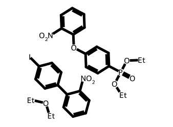 CCOCC.CCOP(=O)(OCC)c1ccc(Oc2ccccc2[N+](=O)[O-])cc1.O=[N+]([O-])c1ccccc1-c1ccc(I)cc1